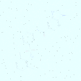 COc1ccc(NC(=O)c2ccc3c(c2)ncn3C)cc1S(=O)(=O)Nc1c(C)cccc1C